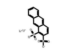 O=S(=O)([O-])c1ccc2cc3ccccc3cc2c1S(=O)(=O)[O-].[Li+].[Li+]